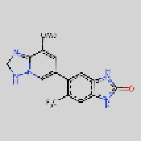 COC1=CC(c2cc3[nH]c(=O)[nH]c3cc2C(F)(F)F)=CN2NCN=C12